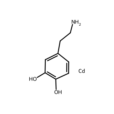 NCCc1ccc(O)c(O)c1.[Cd]